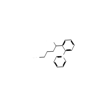 CCCCCCCCCCCCCC(C(=O)O)c1ccccc1-[n+]1ccccc1